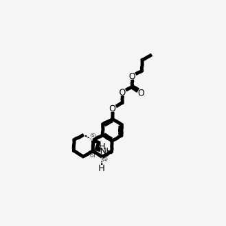 CCCOC(=O)OCOc1ccc2c(c1)[C@]13CCCC[C@@H]1[C@H](C2)NCC3